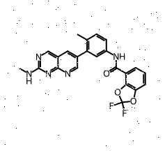 CNc1ncc2cc(-c3cc(NC(=O)c4cccc5c4OC(F)(F)O5)ccc3C)cnc2n1